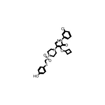 O=c1c(OC2CCC2)c(N2CCN(S(=O)(=O)CSc3ccc(O)cc3)CC2)cnn1-c1cccc(Cl)c1